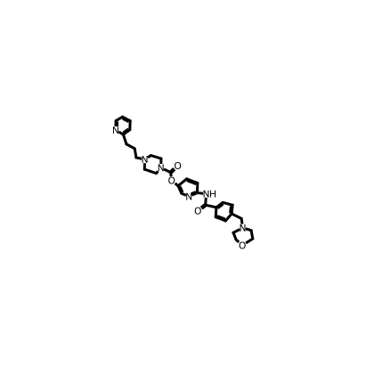 O=C(Nc1ccc(OC(=O)N2CCN(CCCc3ccccn3)CC2)cn1)c1ccc(CN2CCOCC2)cc1